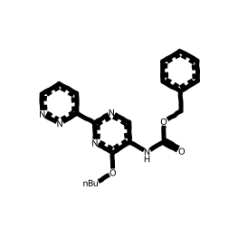 CCCCOc1nc(-c2cccnn2)ncc1NC(=O)OCc1ccccc1